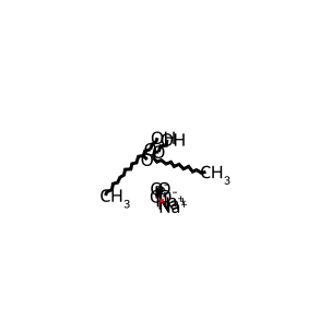 CCCCCCCCCCCCC(COCCO)OC(CCCCCCCCCCCC)COCCO.O=P([O-])([O-])[O-].[Na+].[Na+].[Na+]